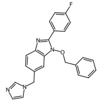 Fc1ccc(-c2nc3ccc(Cn4ccnc4)cc3n2OCc2ccccc2)cc1